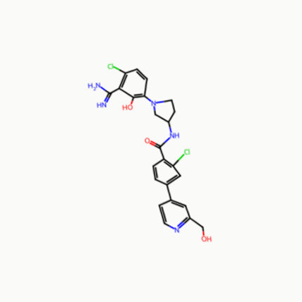 N=C(N)c1c(Cl)ccc(N2CCC(NC(=O)c3ccc(-c4ccnc(CO)c4)cc3Cl)C2)c1O